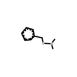 C[Si](C)OCc1ccccc1